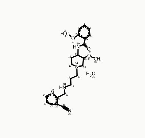 COc1ccccc1C(=O)NC1CCN(CCCNCc2ncccc2C#N)CC1OC.O